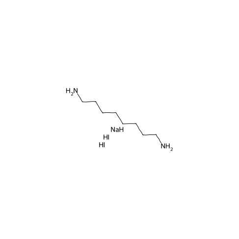 I.I.NCCCCCCCCN.[NaH]